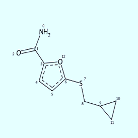 NC(=O)c1ccc(SCC2CC2)o1